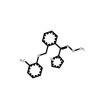 CON=C(c1ccco1)c1ccccc1COc1ccccc1C